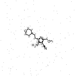 COCc1nn(CCC2CCOCC2)c(N)c1C#N